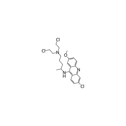 COc1ccc2nc3cc(Cl)ccc3c(NC(C)CCCN(CCCl)CCCl)c2c1